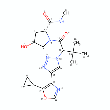 CNC(=O)[C@H]1CC(O)CN1C(=O)C(n1cc(-c2ncoc2C2CC2)nn1)C(C)(C)C